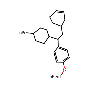 CCCCCOc1ccc(C(CC2CC=CCC2)C2CCC(CCC)CC2)cc1